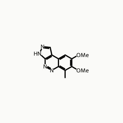 COc1cc2c(nnc3[nH]ncc32)c(C)c1OC